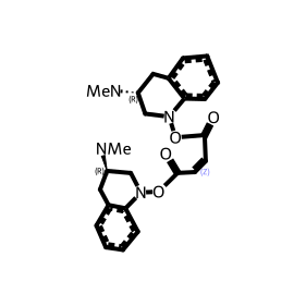 CN[C@@H]1Cc2ccccc2N(OC(=O)/C=C\C(=O)ON2C[C@H](NC)Cc3ccccc32)C1